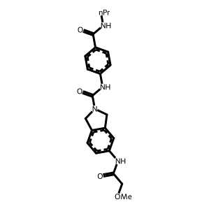 CCCNC(=O)c1ccc(NC(=O)N2Cc3ccc(NC(=O)COC)cc3C2)cc1